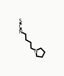 S=C=NCCCCN1CCCC1